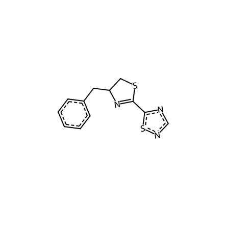 c1ccc(CC2CSC(c3ncns3)=N2)cc1